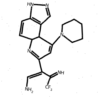 N=C(/C(=C\N)C1=NC2C=Cc3[nH]ncc3C2C(N2CCCCC2)=C1)C(F)(F)F